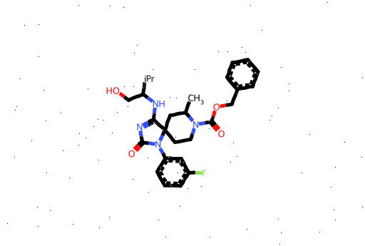 CC(C)C(CO)NC1=NC(=O)N(c2cccc(F)c2)C12CCN(C(=O)OCc1ccccc1)C(C)C2